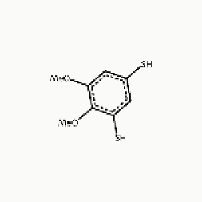 COc1cc(S)cc(S)c1OC